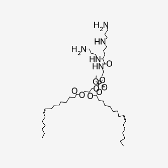 CCCCCC/C=C\CCCCCCCC(=O)OCC(COP(=O)(OC)OCCNC(=O)C(CCCNCCCN)NCCCN)OC(=O)CCCCCCC/C=C\CCCCCC